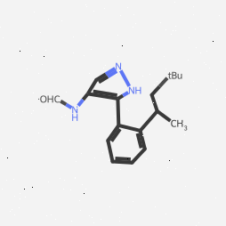 CC(CC(C)(C)C)c1ccccc1-c1[nH]ncc1N[C]=O